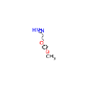 CCOc1ccc(OCCCc2c[nH]cn2)cc1